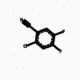 N#Cc1cc(F)c(F)cc1Cl